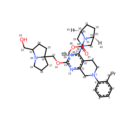 CC(C)c1ccccc1N1CCc2c(nc(OCC34CCCN3C(CO)CC4)nc2N2C[C@H]3CC[C@@H](C2)N3C(=O)OC(C)(C)C)C1